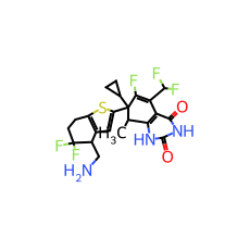 CC1c2[nH]c(=O)[nH]c(=O)c2C(C(F)F)=C(F)C1(c1cc2c(s1)CCC(F)(F)C2CN)C1CC1